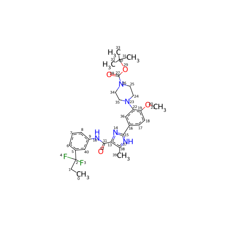 CCC(F)(F)c1cccc(NC(=O)c2nc(-c3ccc(OC)c(N4CCN(C(=O)OC(C)(C)C)CC4)c3)[nH]c2C)c1